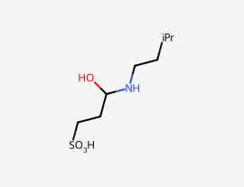 CC(C)CCNC(O)CCS(=O)(=O)O